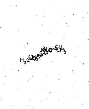 CC(C)CCc1ccc(-c2ccc(-c3cc4sc(-c5ccc(CC(C)C)cc5)cc4s3)c3nsnc23)cc1